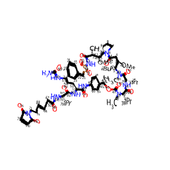 CC[C@H](C)[C@@H]([C@@H](CC(=O)N1CCC[C@H]1[C@H](OC)[C@@H](C)C(=O)NS(=O)(=O)Cc1ccccc1)OC)N(C)C(=O)[C@@H](NC(=O)[C@H](C(C)C)N(C)C(=O)OCc1ccc(NC(=O)[C@H](CCCNC(N)=O)NC(=O)[C@@H](NC(=O)CCCCCN2C(=O)C=CC2=O)C(C)C)cc1)C(C)C